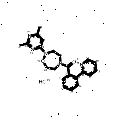 Cc1cc(N2CCN(C(=O)c3ccccc3-c3ccccn3)CCO2)nc(C)n1.Cl